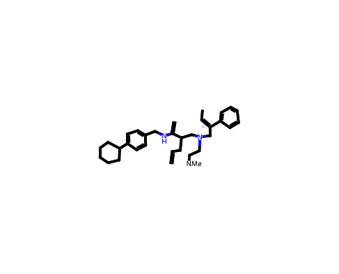 C=CCC(CN(CCNC)C/C(=C/C)c1ccccc1)C(=C)NCc1ccc(C2CCCCC2)cc1